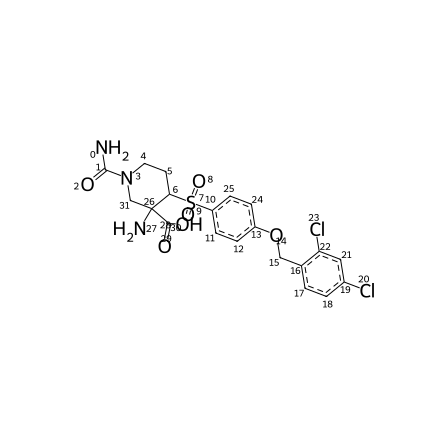 NC(=O)N1CCC(S(=O)(=O)c2ccc(OCc3ccc(Cl)cc3Cl)cc2)C(N)(C(=O)O)C1